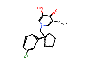 O=C(O)c1cn(CC2(c3cccc(Cl)c3)CCCC2)cc(O)c1=O